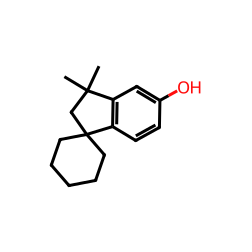 CC1(C)CC2(CCCCC2)c2ccc(O)cc21